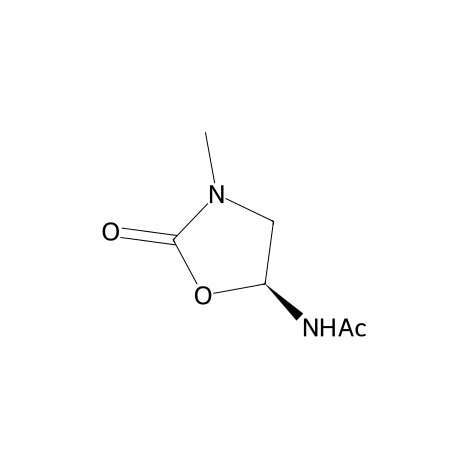 CC(=O)N[C@@H]1CN(C)C(=O)O1